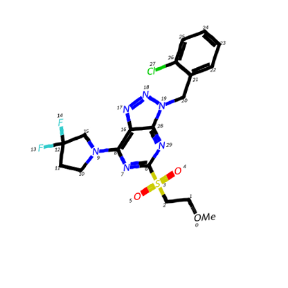 COCCS(=O)(=O)c1nc(N2CCC(F)(F)C2)c2nnn(Cc3ccccc3Cl)c2n1